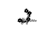 COc1cc(OCc2cccc(-c3ccccc3)c2C)cc(OC)c1CN(C)CCNC(=O)c1ccccc1